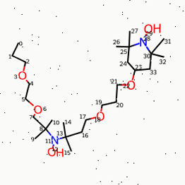 CCCOCCOCC(C)(C)N(O)C(C)(C)CCOCCCOC1CC(C)(C)N(O)C(C)(C)C1